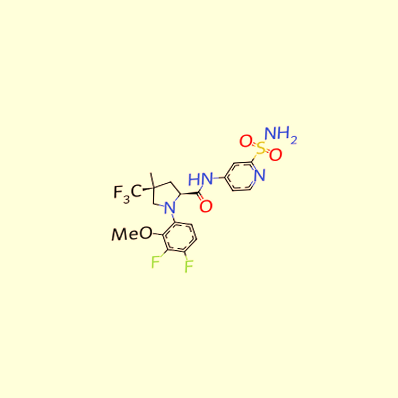 COc1c(N2C[C@@](C)(C(F)(F)F)C[C@H]2C(=O)Nc2ccnc(S(N)(=O)=O)c2)ccc(F)c1F